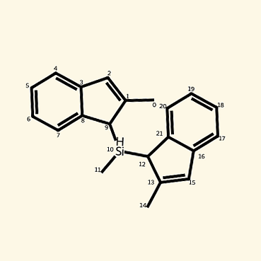 CC1=Cc2ccccc2C1[SiH](C)C1C(C)=Cc2ccccc21